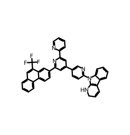 FC(F)(F)c1cc2ccccc2c2ccc(-c3cc(-c4ccc(-n5c6c(c7ccccc75)C=CCN6)nc4)cc(-c4ccccn4)n3)cc12